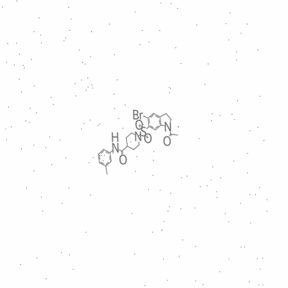 CC(=O)N1CCc2cc(Br)c(S(=O)(=O)N3CCC(C(=O)Nc4cccc(C)c4)CC3)cc21